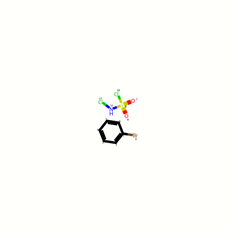 Brc1ccccc1.O=S(=O)(Cl)NCl